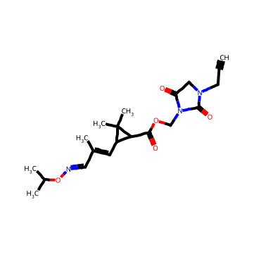 C#CCN1CC(=O)N(COC(=O)C2C(/C=C(C)/C=N/OC(C)C)C2(C)C)C1=O